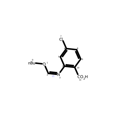 CCCCO/C=N\c1cc(Cl)ccc1C(=O)O